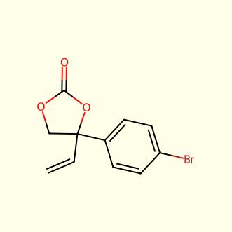 C=CC1(c2ccc(Br)cc2)COC(=O)O1